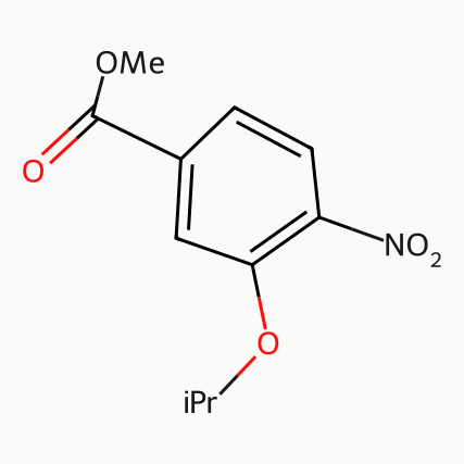 COC(=O)c1ccc([N+](=O)[O-])c(OC(C)C)c1